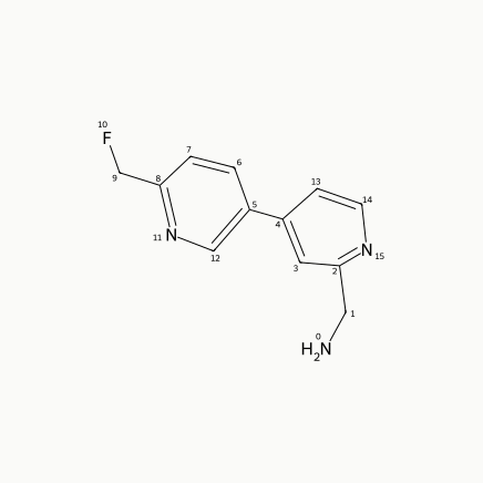 NCc1cc(-c2ccc(CF)nc2)ccn1